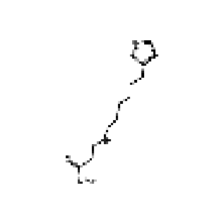 CNC(=O)CCNCCCCCCc1nc[nH]n1